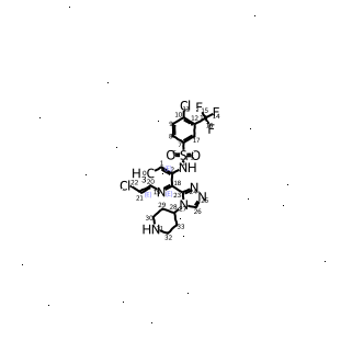 C\C=C(NS(=O)(=O)c1ccc(Cl)c(C(F)(F)F)c1)/C(=N\C=C\Cl)c1nncn1C1CCNCC1